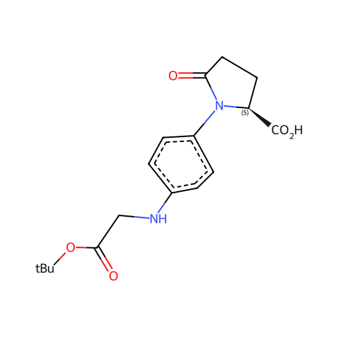 CC(C)(C)OC(=O)CNc1ccc(N2C(=O)CC[C@H]2C(=O)O)cc1